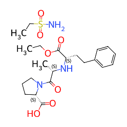 CCOC(=O)[C@H](CCc1ccccc1)N[C@@H](C)C(=O)N1CCC[C@H]1C(=O)O.CCS(N)(=O)=O